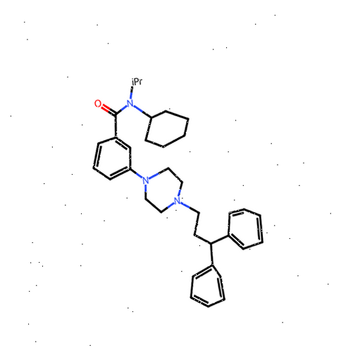 CC(C)N(C(=O)c1cccc(N2CCN(CCC(c3ccccc3)c3ccccc3)CC2)c1)C1CCCCC1